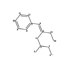 [CH2]CC(C)CC(=Cc1ccccc1)CC